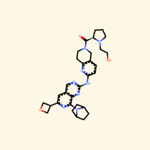 O=C([C@H]1CCCN1CCO)N1CCc2nc(Nc3ncc4cc(C5COC5)nc(N5C6CCC5CC6)c4n3)ccc2C1